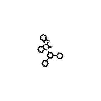 O=c1c2nc3ccccc3n2c2ccccc2n1-c1cc(-c2ccccc2)cc(-c2ccccc2)c1